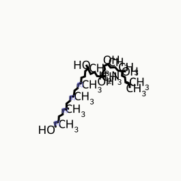 CC(C)=CCCC(C)(O)C(N)CCC(C)(O)CCCC(C)(O)CCCC(C)(O)CCC/C(C)=C/CC/C(C)=C/CC/C(C)=C/CC/C(C)=C/CO